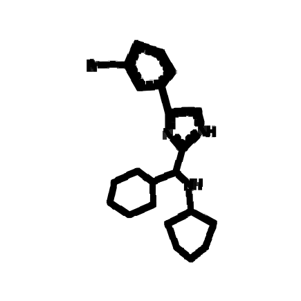 Brc1cccc(-c2c[nH]c(C(NC3CCCCC3)C3CCCCC3)n2)c1